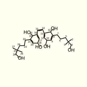 CC(C)(CO)CCCC1=CC(O)C=C(/C=C\C2=CC(O)C=C(CCCC(C)(C)CO)C2O)C1O